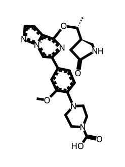 COc1cc(-c2cn3nccc3c(O[C@H](C)[C@H]3CNC(=O)C3)n2)ccc1N1CCN(C(=O)O)CC1